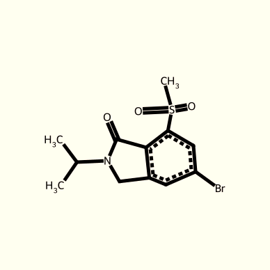 CC(C)N1Cc2cc(Br)cc(S(C)(=O)=O)c2C1=O